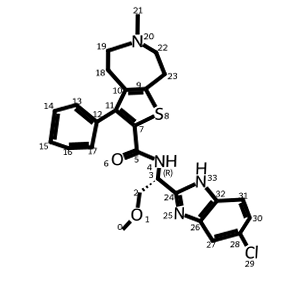 COC[C@H](NC(=O)c1sc2c(c1-c1ccccc1)CCN(C)CC2)c1nc2cc(Cl)ccc2[nH]1